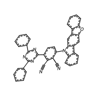 N#Cc1c(-c2nc(-c3ccccc3)nc(-c3ccccc3)n2)ccc(-n2c3ccccc3c3cc4oc5ccccc5c4cc32)c1C#N